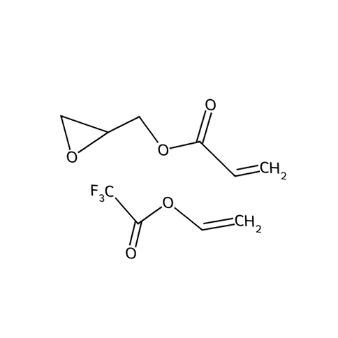 C=CC(=O)OCC1CO1.C=COC(=O)C(F)(F)F